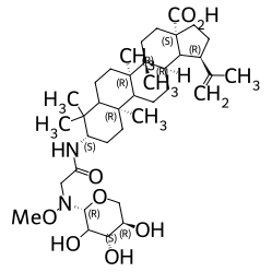 C=C(C)[C@@H]1CC[C@]2(C(=O)O)CC[C@]3(C)[C@H](CCC4[C@@]5(C)CC[C@H](NC(=O)CN(OC)[C@@H]6OC[C@@H](O)[C@H](O)C6O)C(C)(C)C5CC[C@]43C)C12